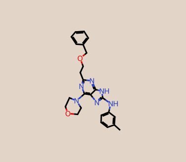 Cc1cccc(Nc2nc3c(N4CCOCC4)nc(CCOCc4ccccc4)nc3[nH]2)c1